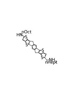 CCCCCCCCNc1cc2sc3c(c2s1)Cc1cc2c(cc1-3)Cc1c-2sc2cc(C(N)CCCCCCC)sc12